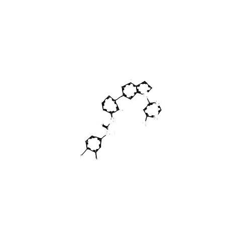 Nc1cc(-n2ccc3ccc(-c4cccc(NC(=O)Nc5ccc(Cl)c(Cl)c5)c4)cc32)ncn1